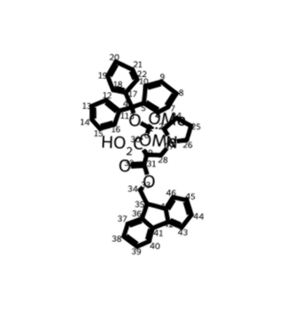 COC(OC)(OC(c1ccccc1)(c1ccccc1)c1ccccc1)[C@@H]1CCCN1CC(C(=O)O)C(=O)OCC1c2ccccc2-c2ccccc21